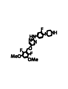 COc1cc(OC)c(F)c(COc2cnc(Nc3ccc(N4CCNCC4)c(F)c3)nc2)c1F